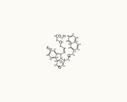 O=C(O)COC/C=C\CC1C(COCc2ccc3ccccc3c2)C2CC1(c1ccc(F)cc1)CO2